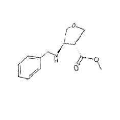 COC(=O)[C@H]1COC[C@@H]1NCc1ccccc1